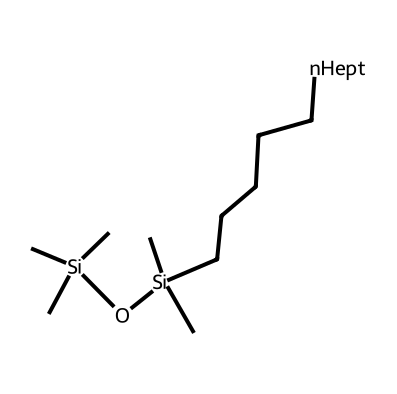 CCCCCCCCCCCC[Si](C)(C)O[Si](C)(C)C